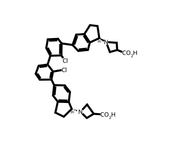 O=C(O)C1CN([C@@H]2CCc3cc(-c4cccc(-c5cccc(-c6ccc7c(c6)CC[C@H]7N6CC(C(=O)O)C6)c5Cl)c4Cl)ccc32)C1